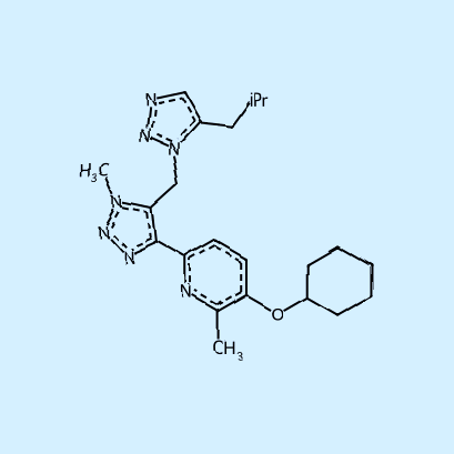 Cc1nc(-c2nnn(C)c2Cn2nncc2CC(C)C)ccc1OC1CCCCC1